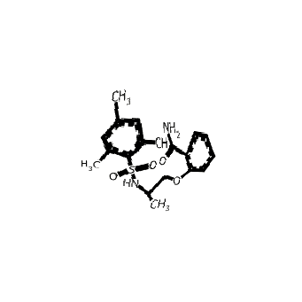 Cc1cc(C)c(S(=O)(=O)NC(C)COc2ccccc2C(N)=O)c(C)c1